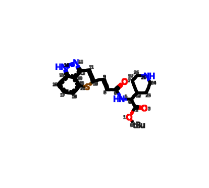 CC(C)(C)OC(=O)C(NC(=O)C=CC1=Cc2n[nH]c3cccc(c23)S1)C1CCNCC1